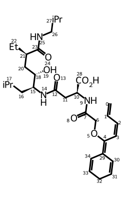 C=C/C=C\C(OCC(=O)N[C@@H](CC(=O)N[C@@H](CC(C)C)[C@@H](O)C[C@@H](CC)C(=O)NCC(C)C)C(=O)O)=C1C=CCC=C1